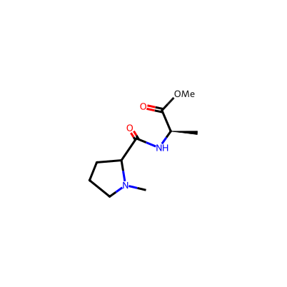 COC(=O)[C@@H](C)NC(=O)C1CCCN1C